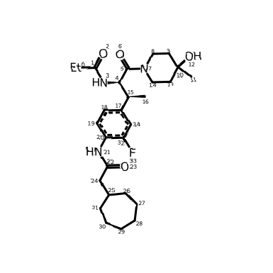 CCC(=O)N[C@@H](C(=O)N1CCC(C)(O)CC1)[C@@H](C)c1ccc(NC(=O)CC2CCCCCC2)c(F)c1